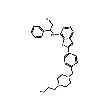 OCCN1CCN(Cc2ccc(-c3cc4ncnc(NC(CO)c5ccccc5)c4s3)cc2)CC1